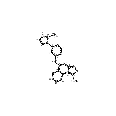 Cc1nnc2nc(Nc3cccc(-c4ccnn4C)c3)c3ccccc3n12